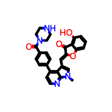 Cn1cc(/C=C2\Oc3cccc(O)c3C2=O)c2c(-c3ccc(C(=O)N4CCNCC4)cc3)ccnc21